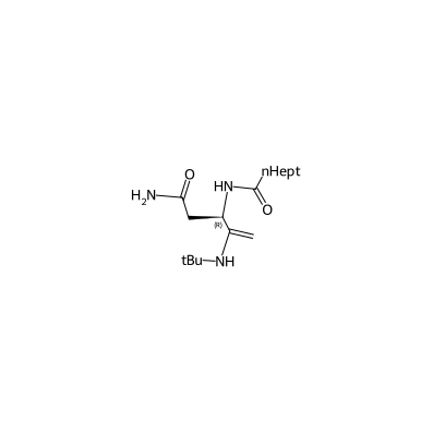 C=C(NC(C)(C)C)[C@@H](CC(N)=O)NC(=O)CCCCCCC